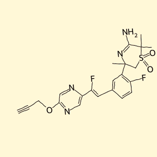 C#CCOc1cnc(C(F)=Cc2ccc(F)c(C3(C)CS(=O)(=O)C(C)(C)C(N)=N3)c2)cn1